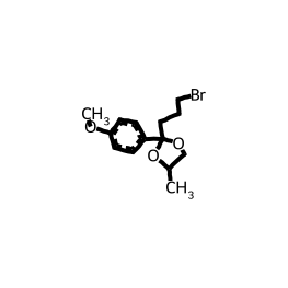 COc1ccc(C2(CCCBr)OCC(C)O2)cc1